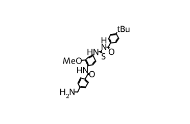 COc1cc(NC(=S)NC(=O)c2ccc(C(C)(C)C)cc2)ccc1NC(=O)c1ccc(CN)cc1